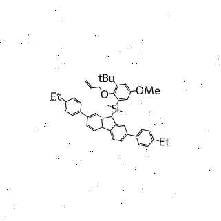 C=CCOc1c(C(C)(C)C)cc(OC)cc1[Si](C)(C)C1c2cc(-c3ccc(CC)cc3)ccc2-c2ccc(-c3ccc(CC)cc3)cc21